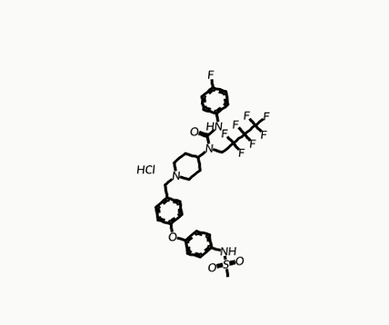 CS(=O)(=O)Nc1ccc(Oc2ccc(CN3CCC(N(CC(F)(F)C(F)(F)C(F)(F)F)C(=O)Nc4ccc(F)cc4)CC3)cc2)cc1.Cl